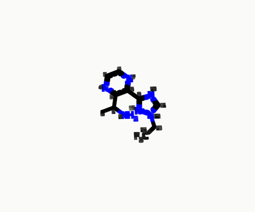 CC(N)c1nccnc1-c1ncn(CC(F)(F)F)n1